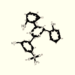 Cc1cc(-c2nc(-c3ccccc3O)nc(-c3ccccc3O)n2)cc(S(C)(=O)=O)c1